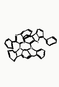 c1ccc(-c2nc3ccccc3nc2-n2c3ccccc3c3ccc4c5ccccc5n(-c5cccc6c5sc5c(-c7ccccc7)cccc56)c4c32)cc1